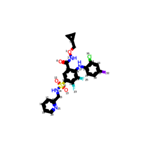 O=C(NOCC1CC1)c1cc(S(=O)(=O)NCc2ccccn2)c(F)c(F)c1Nc1ccc(I)cc1Cl